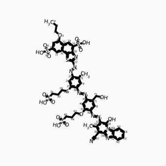 CCCOc1cc(S(=O)(=O)O)cc2c1cc(S(=O)(=O)O)c1nc(N=Nc3cc(SCCCS(=O)(=O)O)c(N=Nc4cc(OCCCS(=O)(=O)O)c(N=Nc5c(C)c(C#N)c6nc7ccccc7n6c5O)cc4CO)cc3C)sc12